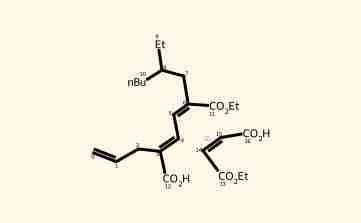 C=CCC(=CC=C(CC(CC)CCCC)C(=O)OCC)C(=O)O.CCOC(=O)/C=C\C(=O)O